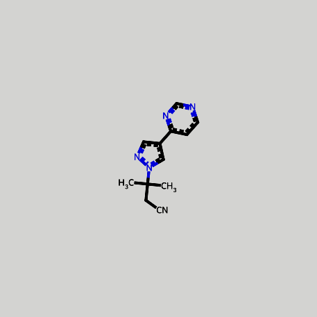 CC(C)(CC#N)n1cc(-c2ccncn2)cn1